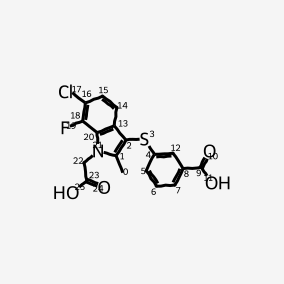 Cc1c(Sc2cccc(C(=O)O)c2)c2ccc(Cl)c(F)c2n1CC(=O)O